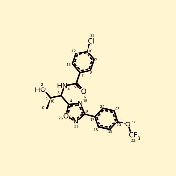 C[C@@H](O)C(NC(=O)c1ccc(Cl)cc1)c1nc(-c2ccc(OC(F)(F)F)cc2)no1